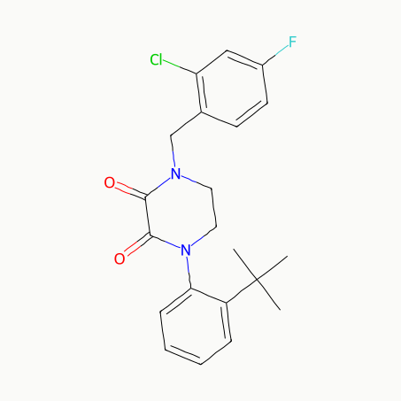 CC(C)(C)c1ccccc1N1CCN(Cc2ccc(F)cc2Cl)C(=O)C1=O